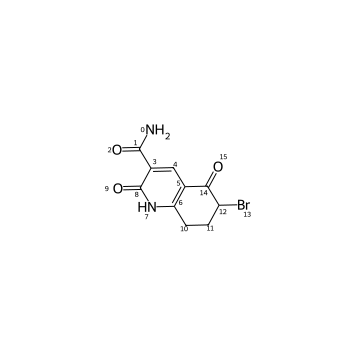 NC(=O)c1cc2c([nH]c1=O)CCC(Br)C2=O